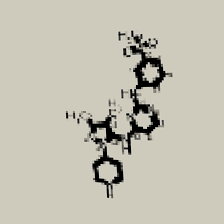 Cc1nn(C2CCNCC2)c(Nc2ccnc(Nc3cccc(S(C)(=O)=O)c3)n2)c1C